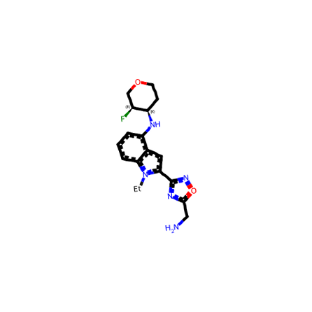 CCn1c(-c2noc(CN)n2)cc2c(N[C@@H]3CCOC[C@@H]3F)cccc21